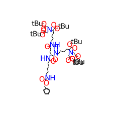 CC(C)(C)OC(=O)CN(CC(=O)OC(C)(C)C)C(CCCCNC(=O)CCC(NC(=O)CCCCCNC(=O)OCc1ccccc1)C(=O)NCCCCC(C(=O)OC(C)(C)C)N(CC(=O)OC(C)(C)C)CC(=O)OC(C)(C)C)C(=O)OC(C)(C)C